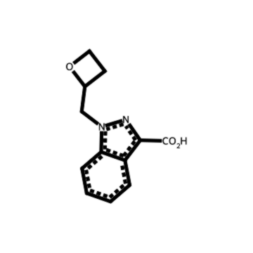 O=C(O)c1nn(CC2CCO2)c2ccccc12